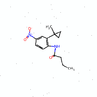 CCCC(=O)Nc1ccc([N+](=O)[O-])cc1C1(C)CC1